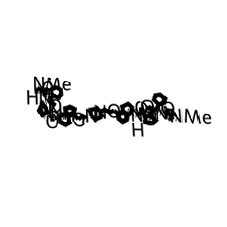 CN[C@@H](C)C(=O)N[C@H](C(=O)N1CCC[C@H]1C(=O)N[C@@H]1CCCc2c(OCCN3CCN(CCOc4cccc5c4CCC[C@H]5NC(=O)[C@@H]4CCCN4C(=O)[C@@H](NC(=O)[C@H](C)NC)C4CCCCC4)CC3)cccc21)C1CCCCC1